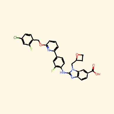 O=C(O)c1ccc2nc(Nc3ccc(-c4cccc(OCc5ccc(Cl)cc5F)n4)cc3F)n(CC3CCO3)c2c1